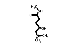 CNC(=O)CCC(O)CN(C)C